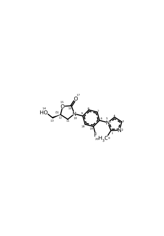 Cc1nccn1-c1ccc(N2C[C@@H](CO)OC2=O)cc1F